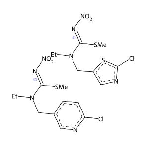 CCN(Cc1ccc(Cl)nc1)/C(=N/[N+](=O)[O-])SC.CCN(Cc1cnc(Cl)s1)/C(=N/[N+](=O)[O-])SC